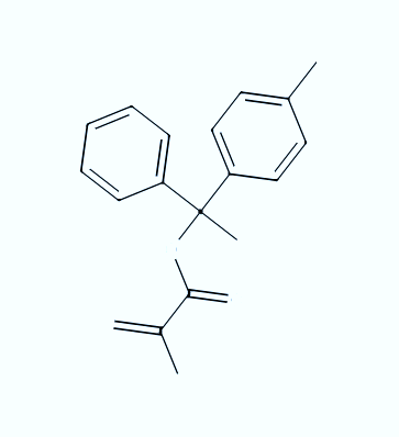 C=C(C)C(=O)OC(C)(c1ccccc1)c1ccc(C)cc1